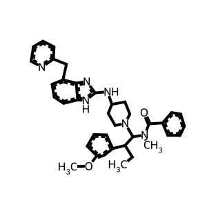 CCC(c1cccc(OC)c1)C(N1CCC(Nc2nc3c(Cc4ccccn4)cccc3[nH]2)CC1)N(C)C(=O)c1ccccc1